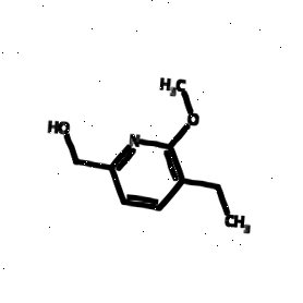 CCc1ccc(CO)nc1OC